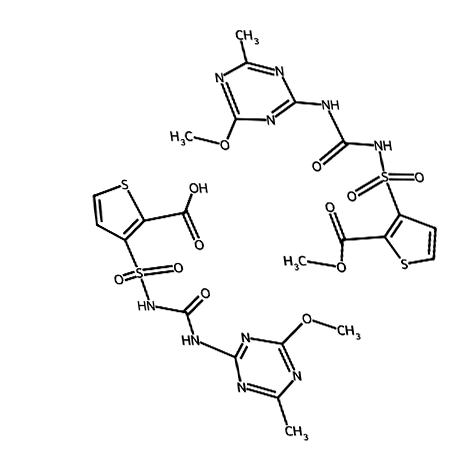 COC(=O)c1sccc1S(=O)(=O)NC(=O)Nc1nc(C)nc(OC)n1.COc1nc(C)nc(NC(=O)NS(=O)(=O)c2ccsc2C(=O)O)n1